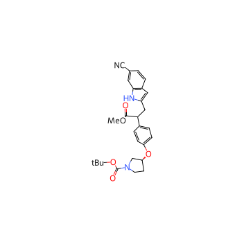 COC(=O)C(Cc1cc2ccc(C#N)cc2[nH]1)c1ccc(O[C@H]2CCN(C(=O)OC(C)(C)C)C2)cc1